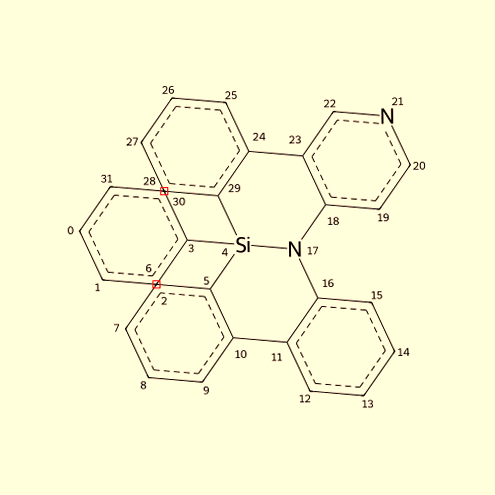 c1ccc([Si]23c4ccccc4-c4ccccc4N2c2ccncc2-c2ccccc23)cc1